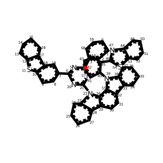 c1ccc(-c2nc(-c3ccc4sc5ccccc5c4c3)nc(-n3c4ccccc4c4ccc5c6ccccc6n(-c6ccccc6-c6nc7ccccc7s6)c5c43)n2)cc1